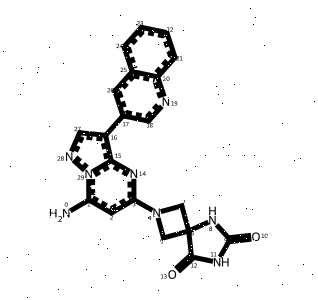 Nc1cc(N2CC3(C2)NC(=O)NC3=O)nc2c(-c3cnc4ccccc4c3)cnn12